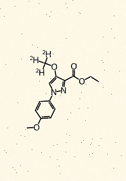 [2H]C([2H])([2H])Oc1cn(-c2ccc(OC)cc2)nc1C(=O)OCC